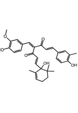 COc1cc(/C=C(/C(=O)/C=C/c2ccc(O)c(C)c2)C(=O)/C=C/C2(O)C(C)=CCCC2(C)C)ccc1O